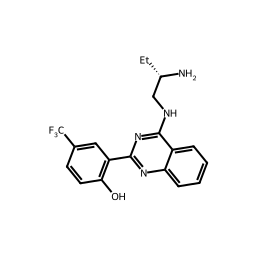 CC[C@H](N)CNc1nc(-c2cc(C(F)(F)F)ccc2O)nc2ccccc12